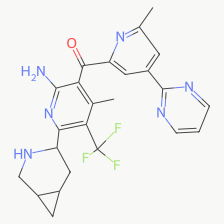 Cc1cc(-c2ncccn2)cc(C(=O)c2c(N)nc(C3CC4CC4CN3)c(C(F)(F)F)c2C)n1